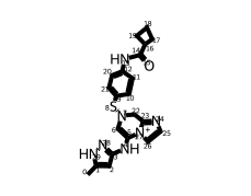 Cc1cc(NC2=CN(Sc3ccc(NC(=O)C4CCC4)cc3)CC3=NC=C[N+]23)n[nH]1